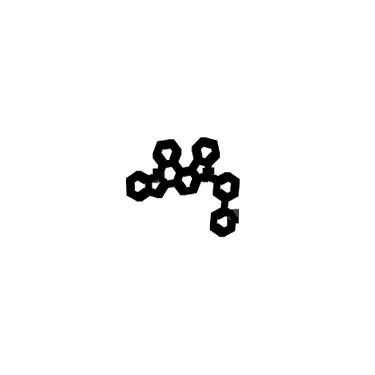 c1ccc(-c2cccc(-n3c4ccccc4c4c5c6ccccc6n6c7ccccc7cc6c5ccc43)c2)nc1